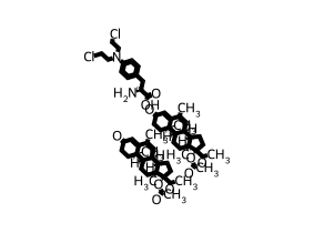 CC(=O)O[C@]1(C(C)=O)CC[C@H]2[C@@H]3C=C(C)C4=CC(=O)CC[C@]4(C)[C@H]3CC[C@@]21C.CC(=O)O[C@]1(C(C)=O)CC[C@H]2[C@@H]3C=C(C)C4=CC(=O)CC[C@]4(C)[C@H]3CC[C@@]21C.N[C@@H](Cc1ccc(N(CCCl)CCCl)cc1)C(=O)O